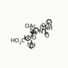 CC(=O)O[C@H](C[C@H](C(C)C)N(C)C(=O)[C@@H](NC(=O)[C@H]1CCCCN1C)C1COC1)c1nc(C(=O)N[C@@H](Cc2ncccn2)C[C@H](C)C(=O)O)cs1